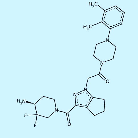 Cc1cccc(N2CCN(C(=O)Cn3nc(C(=O)N4CC[C@H](N)C(F)(F)C4)c4c3CCC4)CC2)c1C